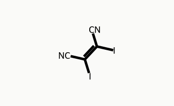 N#C/C(I)=C(/I)C#N